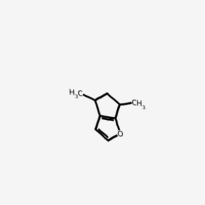 CC1CC(C)c2occc21